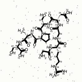 C[C@H](NC(=O)[C@@H]1CCCN1C(=O)[C@H](CO)NC(=O)[C@H](CC(=O)O)NC(=O)CNC(=O)[C@H](CCCNC(=N)N)NC(=O)CN)C(=O)N[C@@H](CO)C(=O)O